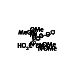 COc1cnc(OC[C@@H]2CN(C(=O)O)C[C@H](COc3ncc(OC)c(OC)n3)[C@H]2c2ccc(OCCCOCc3ccccc3)cc2)nc1OC